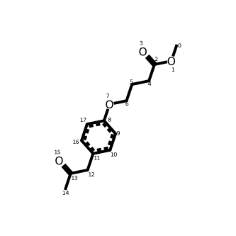 COC(=O)CCCOc1ccc(CC(C)=O)cc1